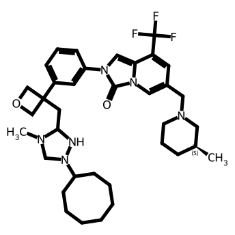 C[C@H]1CCCN(Cc2cc(C(F)(F)F)c3cn(-c4cccc(C5(CC6NN(C7CCCCCCC7)CN6C)COC5)c4)c(=O)n3c2)C1